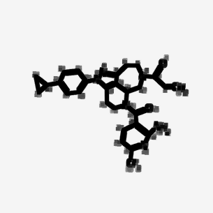 C=CC(=O)N1CCc2nn(-c3ccc(C4CC4)cc3)c3c2C(C1)N(C(=O)c1ccc(C(F)(F)F)nc1N)CC3